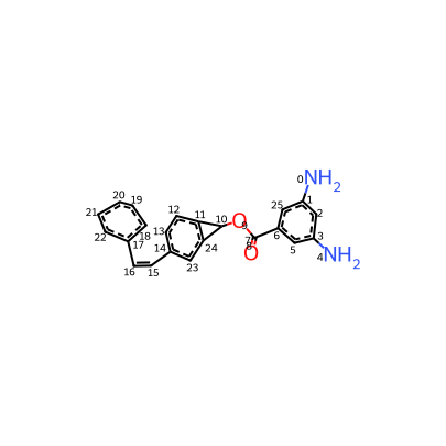 Nc1cc(N)cc(C(=O)OC2c3ccc(/C=C\c4ccccc4)cc32)c1